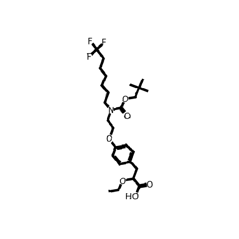 CCOC(Cc1ccc(OCCN(CCCCCCC(F)(F)F)C(=O)OCC(C)(C)C)cc1)C(=O)O